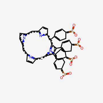 O=S(=O)=C1C=CC(c2c(C3=CCC(=S(=O)=O)C=C3)c3c(C4=CCC(=S(=O)=O)C=C4)c4nc(cc5ccc(cc6nc(cc2n3C2=CCC(=S(=O)=O)C=C2)C=C6)[nH]5)C=C4)=CC1